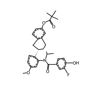 COc1ccc([C@H]2CCc3cc(OC(=O)C(C)(C)C)ccc3C2)c(N(C(=O)c2ccc(O)c(F)c2)C(C)C)c1